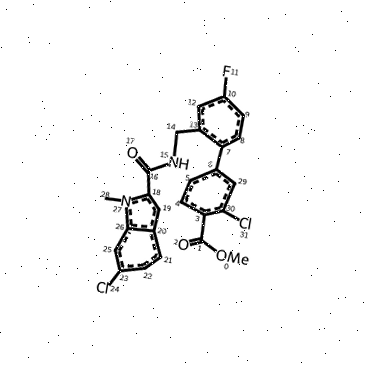 COC(=O)c1ccc(-c2ccc(F)cc2CNC(=O)c2cc3ccc(Cl)cc3n2C)cc1Cl